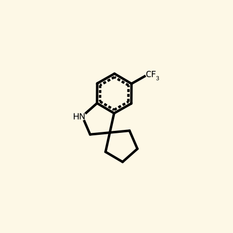 FC(F)(F)c1ccc2c(c1)C1(CCCC1)CN2